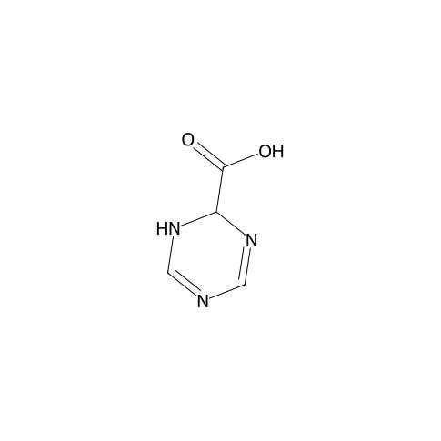 O=C(O)C1N=CN=CN1